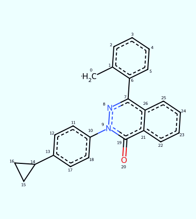 [CH2]c1ccccc1-c1nn(-c2ccc(C3CC3)cc2)c(=O)c2ccccc12